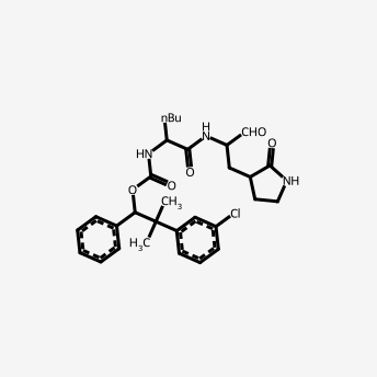 CCCCC(NC(=O)OC(c1ccccc1)C(C)(C)c1cccc(Cl)c1)C(=O)NC(C=O)CC1CCNC1=O